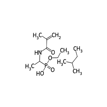 C=C(C)C(=O)NC(C)P(=O)(O)OCC.CCC(C)C